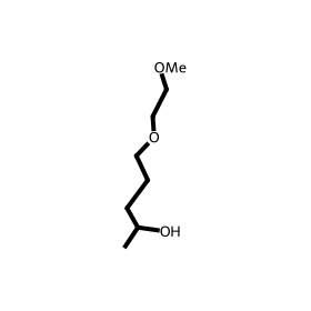 COCCOCCCC(C)O